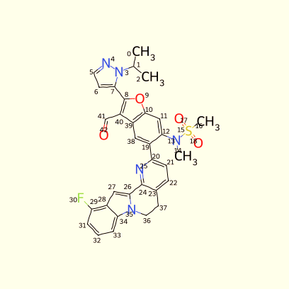 CC(C)n1nccc1-c1oc2cc(N(C)S(C)(=O)=O)c(-c3ccc4c(n3)-c3cc5c(F)cccc5n3CC4)cc2c1C=O